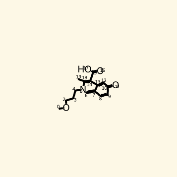 COCCCn1cc2ccc(=O)cc-2c(C(=O)O)c1C